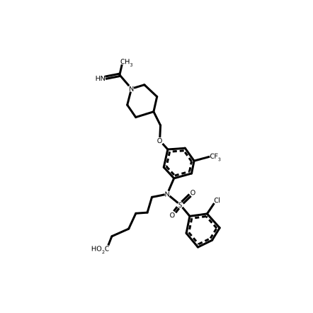 CC(=N)N1CCC(COc2cc(N(CCCCCC(=O)O)S(=O)(=O)c3ccccc3Cl)cc(C(F)(F)F)c2)CC1